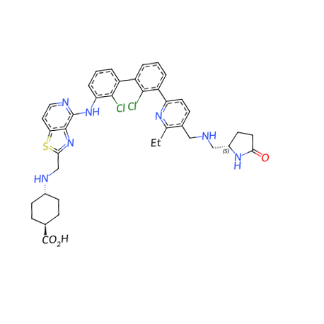 CCc1nc(-c2cccc(-c3cccc(Nc4nccc5sc(CN[C@H]6CC[C@H](C(=O)O)CC6)nc45)c3Cl)c2Cl)ccc1CNC[C@@H]1CCC(=O)N1